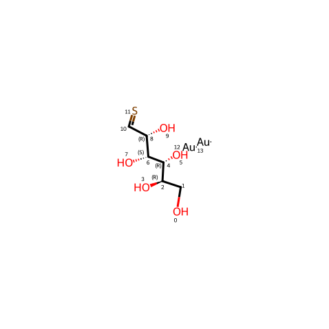 OC[C@@H](O)[C@@H](O)[C@H](O)[C@@H](O)C=S.[Au].[Au]